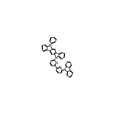 c1ccc(-n2c3ccccc3c3cc4c(cc32)c2ccccc2n4-c2cccc(-c3cccc(-n4c5ccccc5c5ccccc54)n3)n2)cc1